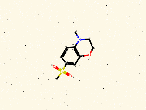 CN1CCOc2cc(S(C)(=O)=O)ccc21